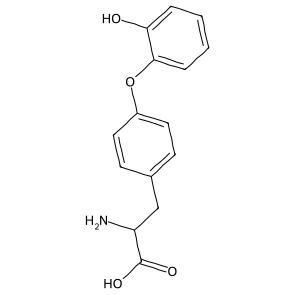 NC(Cc1ccc(Oc2ccccc2O)cc1)C(=O)O